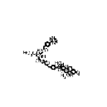 C[C@]12C=CC(=O)C=C1CC[C@@H]1[C@@H]2[C@@H](O)C[C@@]2(C)[C@H]1C[C@H]1O[C@@H](c3ccc(CC4CC5(CO4)CN(C(=O)[C@H](CCC(=O)O)NC(=O)CNC(=O)Cc4ccc(-c6nncnn6)cc4)C5)cc3)O[C@]12C(=O)CO